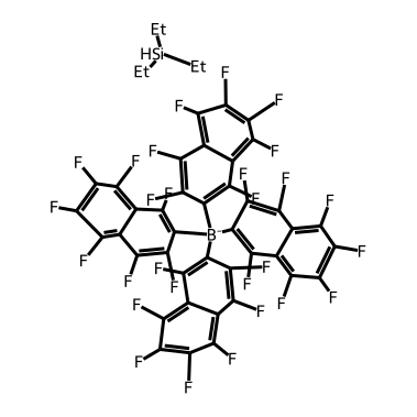 CC[SiH](CC)CC.Fc1c(F)c(F)c2c(F)c([B-](c3c(F)c(F)c4c(F)c(F)c(F)c(F)c4c3F)(c3c(F)c(F)c4c(F)c(F)c(F)c(F)c4c3F)c3c(F)c(F)c4c(F)c(F)c(F)c(F)c4c3F)c(F)c(F)c2c1F